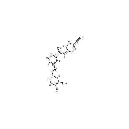 N#Cc1ccc(NC(=O)c2cccc(OCc3ccc(F)c(F)c3)c2)cc1